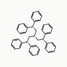 c1ccc(P(CP(CP(c2ccccc2)c2ccccc2)CP(c2ccccc2)c2ccccc2)c2ccccc2)cc1